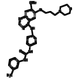 COc1cc2ncnc(Nc3ccc(NC(=O)Nc4cccc(C)c4)cc3)c2cc1OCCCN1CCOCC1